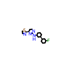 Fc1cccc(-c2cccc(Nc3nccc(-c4nccs4)n3)c2)c1